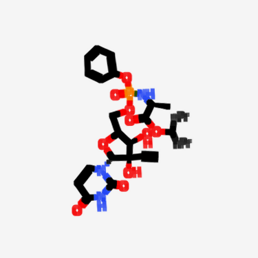 C#C[C@@]1(O)[C@H](O)C(COP(=O)(N[C@@H](C)C(=O)OC(CCC)CCC)Oc2ccccc2)O[C@H]1n1ccc(=O)[nH]c1=O